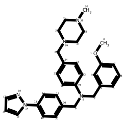 COc1cccc(CN(Cc2ccc(-n3cccn3)cc2)c2ccc(CN3CCN(C)CC3)cc2)c1